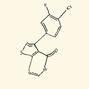 O=C1[N]C=Nc2scc(-c3ccc(Cl)c(F)c3)c21